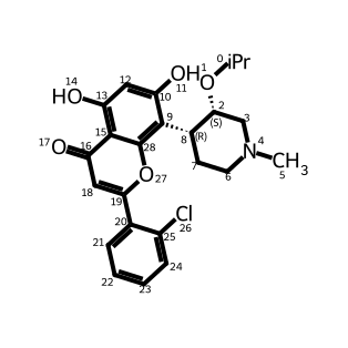 CC(C)O[C@@H]1CN(C)CC[C@@H]1c1c(O)cc(O)c2c(=O)cc(-c3ccccc3Cl)oc12